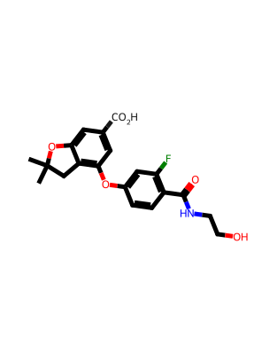 CC1(C)Cc2c(Oc3ccc(C(=O)NCCO)c(F)c3)cc(C(=O)O)cc2O1